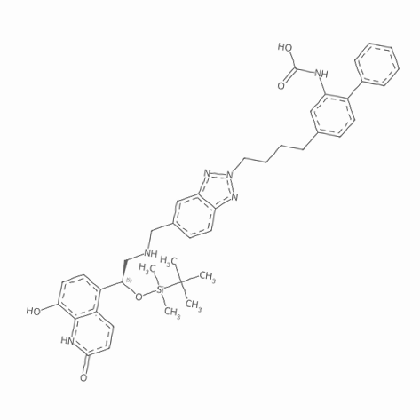 CC(C)(C)[Si](C)(C)O[C@H](CNCc1ccc2nn(CCCCc3ccc(-c4ccccc4)c(NC(=O)O)c3)nc2c1)c1ccc(O)c2[nH]c(=O)ccc12